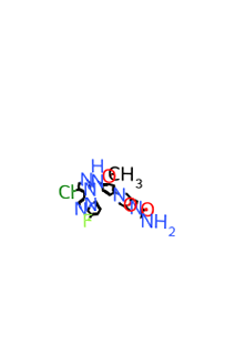 COc1cc(N2CC3CN(C(=O)CN)CC(C2)O3)ccc1Nc1ncc(Cl)c(-c2cnc3c(F)cccn23)n1